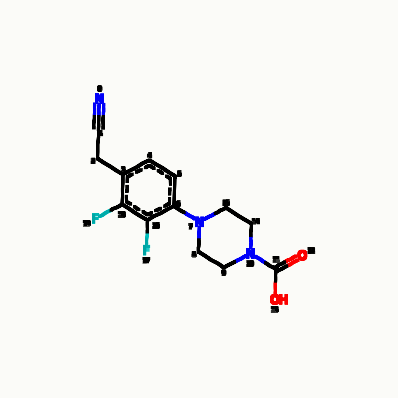 N#CCc1ccc(N2CCN(C(=O)O)CC2)c(F)c1F